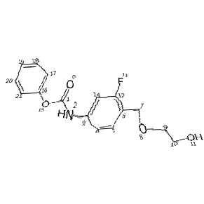 O=C(Nc1ccc(COCCO)c(F)c1)Oc1ccccc1